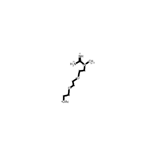 CC(=O)OCCOCCOCCN(C)C(=N)N